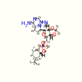 C=C(C)[C@H]1CC[C@@]2(C)S[P@@](=S)(OC[C@H]3O[C@@](C#N)(c4ccc5c(N)ncnn45)[C@@H]4OC(C)(C)O[C@@H]43)O[C@@H]2C1